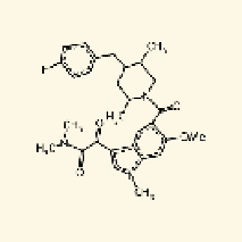 COc1cc2c(cc1C(=O)N1CC(C)C(Cc3ccc(F)cc3)CC1C)c(C(=O)C(=O)N(C)C)cn2C